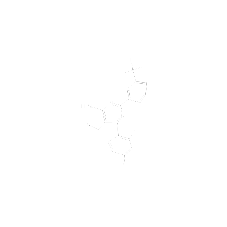 NCc1c(N)nc(-c2cccc(C(F)(F)F)c2)nc1-c1ccc(Cl)cc1Cl